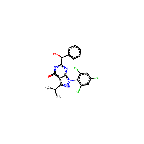 CC(C)c1[nH]n(-c2c(Cl)cc(Cl)cc2Cl)c2nc(C(O)c3ccccc3)nc(=O)c1-2